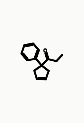 CCC(=O)C1(c2ccccc2)CC=CC1